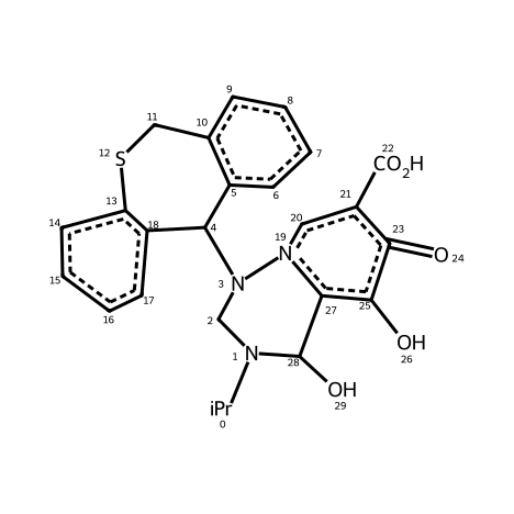 CC(C)N1CN(C2c3ccccc3CSc3ccccc32)n2cc(C(=O)O)c(=O)c(O)c2C1O